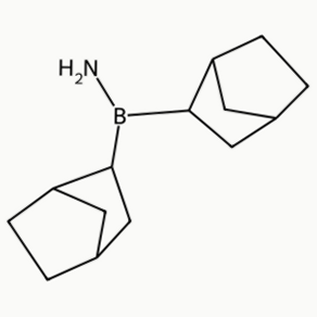 NB(C1CC2CCC1C2)C1CC2CCC1C2